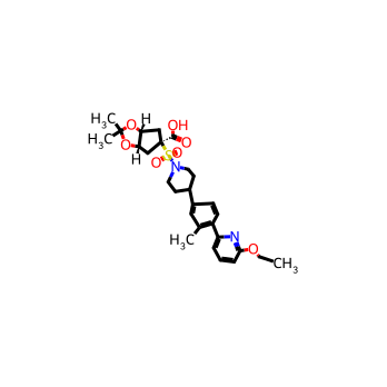 CCOc1cccc(-c2ccc(C3CCN(S(=O)(=O)[C@@]4(C(=O)O)C[C@@H]5OC(C)(C)O[C@@H]5C4)CC3)cc2C)n1